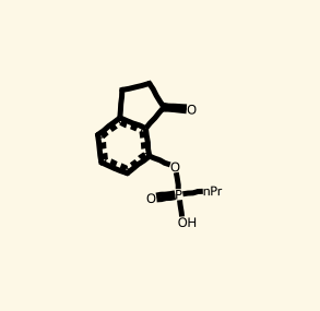 CCCP(=O)(O)Oc1cccc2c1C(=O)CC2